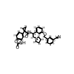 N#Cc1cccc(COc2cccc(C(CN3CCCC3)NC(=O)C3(c4ccc5oc(=O)[nH]c5c4)CC3)c2)c1